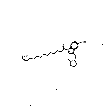 CCCCC/C=C\CCCCCCCCCCC(=O)n1cc(C[C@H]2CCCN2C)c2cc(OC)ccc21